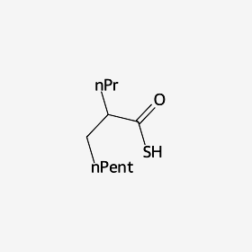 CCCCCCC(CCC)C(=O)S